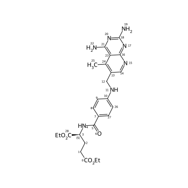 CCOC(=O)CC[C@H](NC(=O)c1ccc(NCc2cnc3nc(N)nc(N)c3c2C)cc1)C(=O)OCC